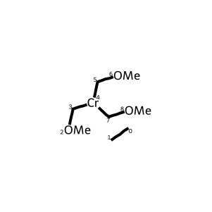 CC.CO[CH2][Cr]([CH2]OC)[CH2]OC